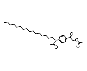 CCCCCCCCCCCCCCCCN(C(C)=O)c1ccc(C(=O)COC(C)=O)cc1